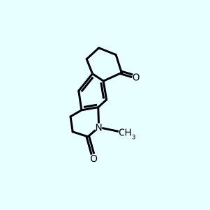 CN1C(=O)CCc2cc3c(cc21)C(=O)CCC3